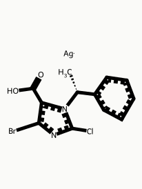 C[C@H](c1ccccc1)n1c(Cl)nc(Br)c1C(=O)O.[Ag]